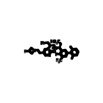 Cc1cccc(C)c1-c1cc([C@H](CC(=O)O)NC[C@H](CC(C)C)n2cc(CCN3CC(F)C3)cnc2=O)c(F)c(C(F)(F)F)c1